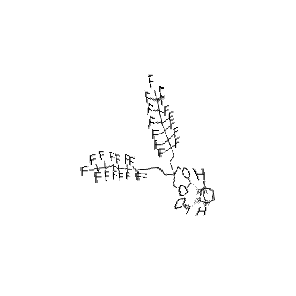 CC(=O)[C@@H]1[C@H](C2OCC(CCC(F)(F)C(F)(F)C(F)(F)C(F)(F)C(F)(F)C(F)(F)F)(CCC(F)(F)C(F)(F)C(F)(F)C(F)(F)C(F)(F)C(F)(F)F)CO2)[C@@H]2C=C[C@H]1C2